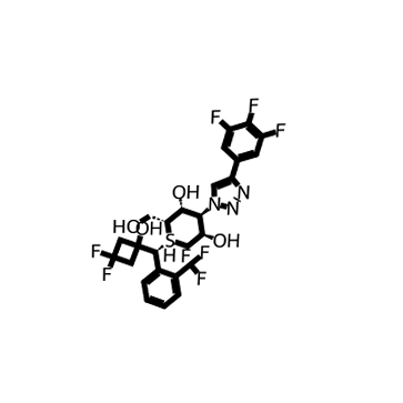 OC[C@@H]1[C@H](O)[C@@H](n2cc(-c3cc(F)c(F)c(F)c3)nn2)[C@@H](O)C[SH]1[C@H](c1ccccc1C(F)(F)F)C1(O)CC(F)(F)C1